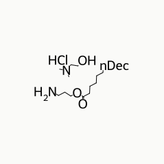 CCCCCCCCCCCCCCCC(=O)OCCCN.CN(C)CCO.Cl